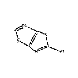 CCCc1nc2scnc2s1